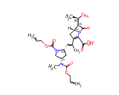 C=CCOC(=O)N(C)[C@H]1C[C@@H](C=C(C)C2=C(C(=O)O)N3C(=O)[C@H]([C@@H](C)O)[C@H]3C2)N(C(=O)OCC=C)C1